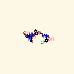 CC(C)(C)c1cc(NC(=O)Nc2ccc(OCCN3CCn4c(nnc4-c4cc(Cl)ccc4O)C3)c3c2C=CC3)n(-c2ccc(CO)cc2)n1